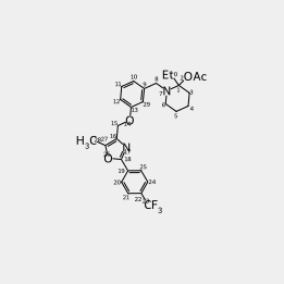 CCC1(OC(C)=O)CCCCN1Cc1cccc(OCc2nc(-c3ccc(C(F)(F)F)cc3)oc2C)c1